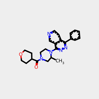 CC1CN(C(=O)C2CCOCC2)CCN1c1nnc(-c2ccccc2)c2ccncc12